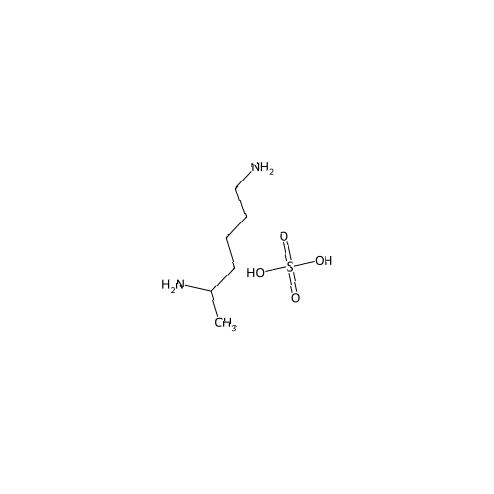 CC(N)CCCCN.O=S(=O)(O)O